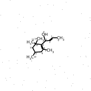 C/C=C/C(O)C1=C(C)CC(C)CC1(C)C